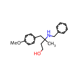 COc1ccc(CC(C)(CCO)NCc2ccccc2)cc1